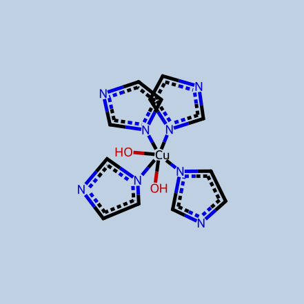 [OH][Cu]([OH])([n]1ccnc1)([n]1ccnc1)([n]1ccnc1)[n]1ccnc1